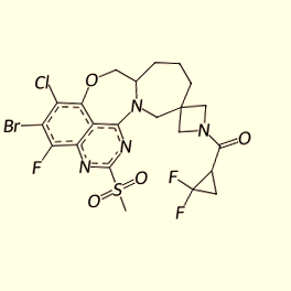 CS(=O)(=O)c1nc2c3c(c(Cl)c(Br)c(F)c3n1)OCC1CCCC3(CN(C(=O)C4CC4(F)F)C3)CN21